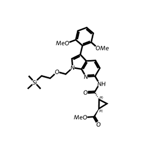 COC(=O)[C@@H]1C[C@H]1C(=O)Nc1ccc2c(-c3c(OC)cccc3OC)cn(COCC[Si](C)(C)C)c2n1